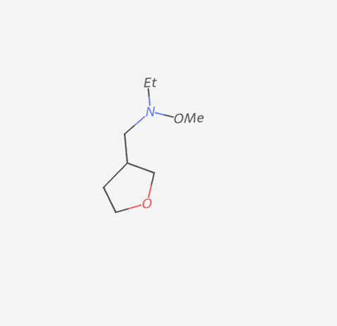 CCN(CC1CCOC1)OC